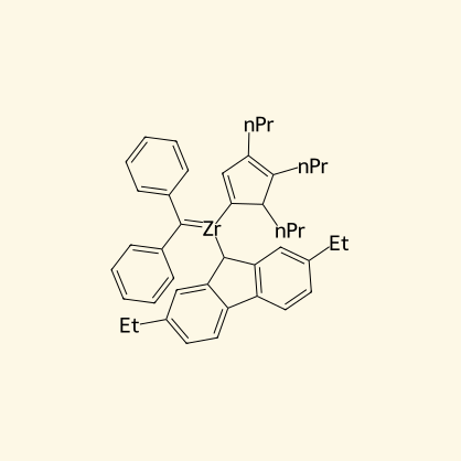 CCCC1=C(CCC)C(CCC)[C]([Zr](=[C](c2ccccc2)c2ccccc2)[CH]2c3cc(CC)ccc3-c3ccc(CC)cc32)=C1